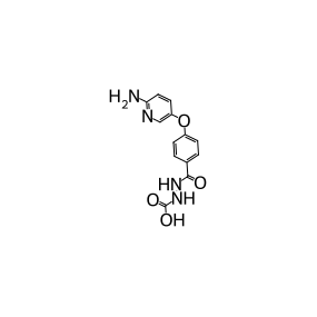 Nc1ccc(Oc2ccc(C(=O)NNC(=O)O)cc2)cn1